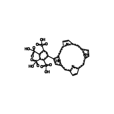 O=S(=O)(O)c1cc(-c2cc3cc4nc(cc5ccc(cc6nc(cc2[nH]3)C=C6)[nH]5)C=C4)c(S(=O)(=O)O)c(S(=O)(=O)O)c1S(=O)(=O)O